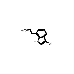 OCCc1cccc2c(S)c[nH]c12